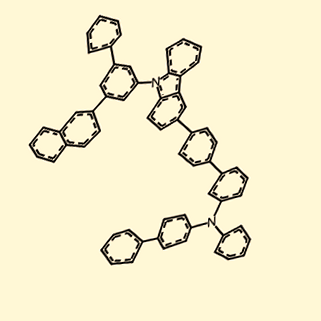 c1ccc(-c2ccc(N(c3ccccc3)c3cccc(-c4ccc(-c5ccc6c(c5)c5ccccc5n6-c5cc(-c6ccccc6)cc(-c6ccc7ccccc7c6)c5)cc4)c3)cc2)cc1